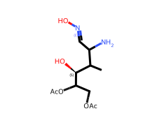 CC(=O)OCC(OC(C)=O)[C@@H](O)C(C)C(N)/C=N/O